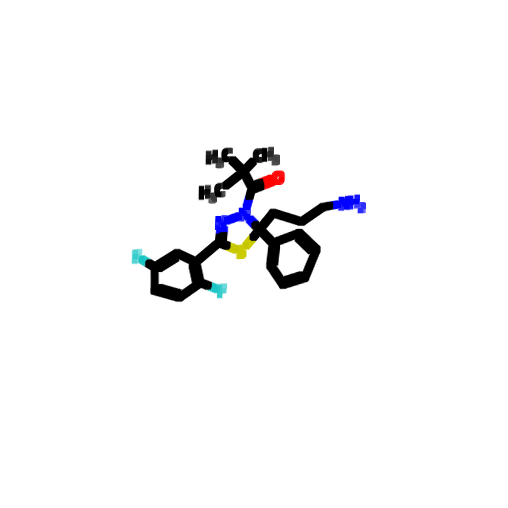 CC(C)(C)C(=O)N1N=C(c2cc(F)ccc2F)SC1(CCCN)c1ccccc1